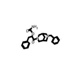 NC(=O)OC(Cc1ccccc1)C(=O)N1CC2CC(CN(Cc3ccccc3)C2)C1